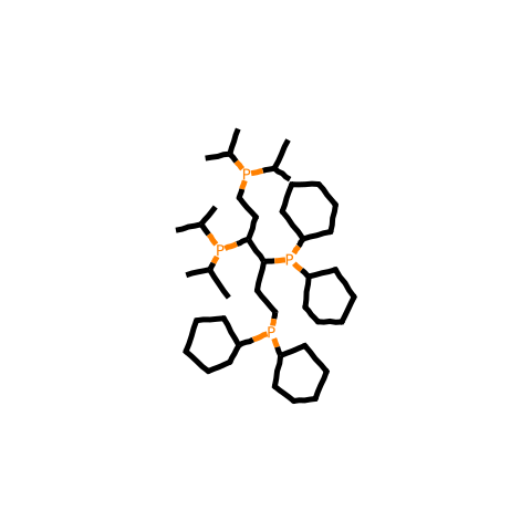 CC(C)P(CCC(C(CCP(C1CCCCC1)C1CCCCC1)P(C1CCCCC1)C1CCCCC1)P(C(C)C)C(C)C)C(C)C